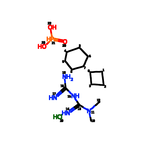 C1CCC1.C1CCCCC1.CN(C)C(=N)NC(=N)N.Cl.O=[PH](O)O